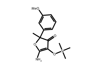 COc1cccc(C2(C)OC(N)=C(O[Si](C)(C)C)C2=O)c1